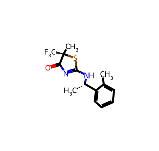 Cc1ccccc1[C@H](C)NC1=NC(=O)[C@@](C)(C(F)(F)F)S1